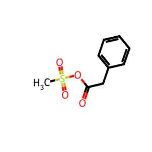 CS(=O)(=O)OC(=O)Cc1ccccc1